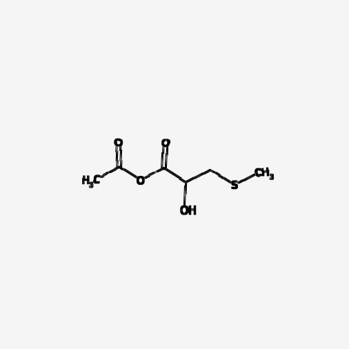 CSCC(O)C(=O)OC(C)=O